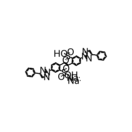 O=S(=O)(O)c1cc(-n2ncc(-c3ccccc3)n2)ccc1C=Cc1ccc(-n2ncc(-c3ccccc3)n2)cc1S(=O)(=O)O.[Na].[Na]